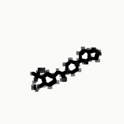 CC(F)(P)c1cc(CC(=O)N2CCN(c3ccc4nncn4n3)CC2)ccc1P